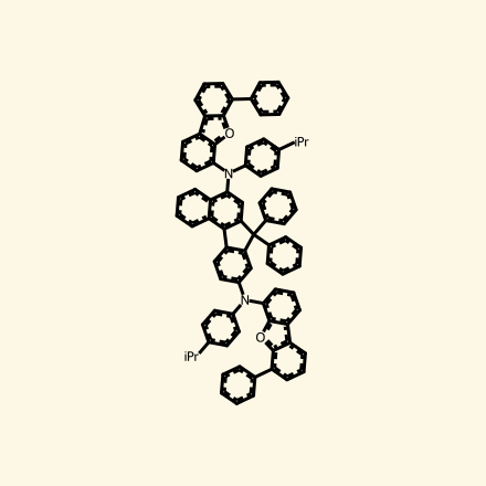 CC(C)c1ccc(N(c2ccc3c(c2)C(c2ccccc2)(c2ccccc2)c2cc(N(c4ccc(C(C)C)cc4)c4cccc5c4oc4c(-c6ccccc6)cccc45)c4ccccc4c2-3)c2cccc3c2oc2c(-c4ccccc4)cccc23)cc1